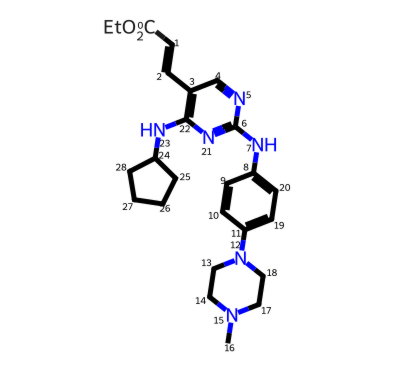 CCOC(=O)C=Cc1cnc(Nc2ccc(N3CCN(C)CC3)cc2)nc1NC1CCCC1